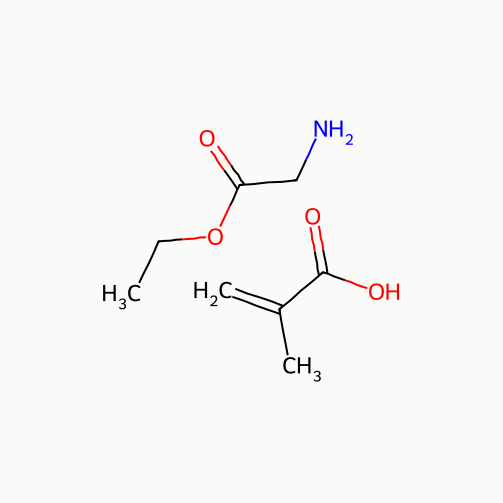 C=C(C)C(=O)O.CCOC(=O)CN